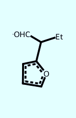 CCC([C]=O)c1ccco1